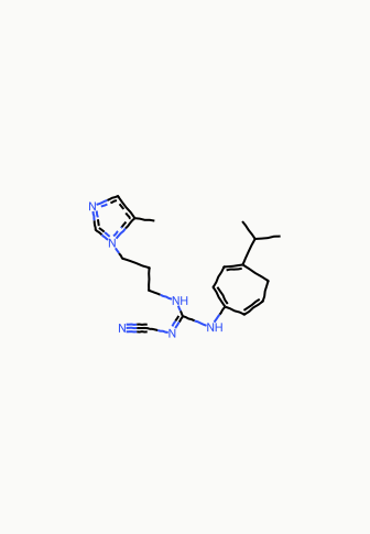 Cc1cncn1CCCN/C(=N\C#N)NC1=CC=C(C(C)C)CC=C1